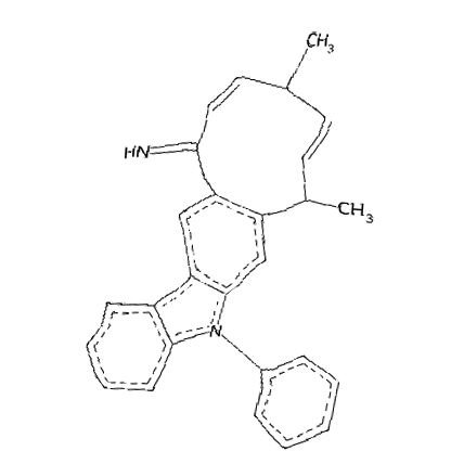 CC1/C=C\C(=N)c2cc3c4ccccc4n(-c4ccccc4)c3cc2C(C)/C=C/1